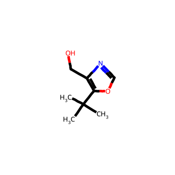 CC(C)(C)c1ocnc1CO